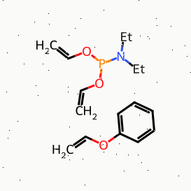 C=COP(OC=C)N(CC)CC.C=COc1ccccc1